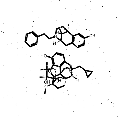 CO[C@]12CC[C@@]3(C[C@@H]1[C@](C)(O)C(C)(C)C)[C@H]1Cc4ccc(O)c5c4[C@@]3(CCN1CC1CC1)[C@H]2O5.C[C@H]1[C@H]2Cc3ccc(O)cc3[C@]1(C)CCN2CCc1ccccc1